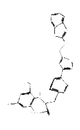 CCc1cc(F)cc(C)c1NC(Cc1ccc(-c2cc(CNc3nc4ccccc4[nH]3)on2)cc1)C(=O)O